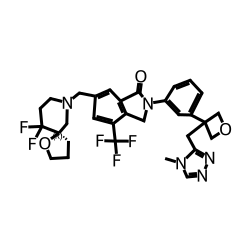 Cn1cnnc1CC1(c2cccc(N3Cc4c(cc(CN5CCC(F)(F)[C@@]6(CCCO6)C5)cc4C(F)(F)F)C3=O)c2)COC1